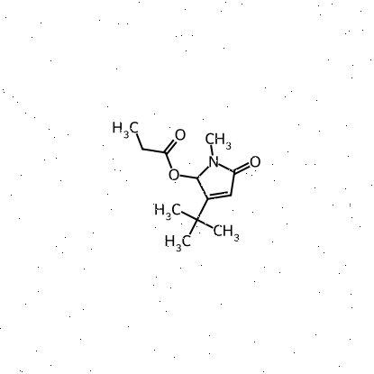 CCC(=O)OC1C(C(C)(C)C)=CC(=O)N1C